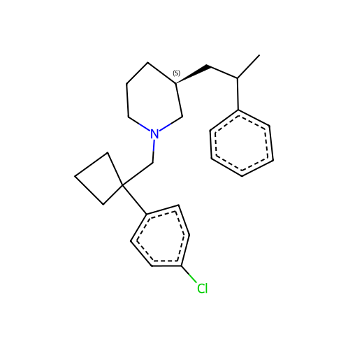 CC(C[C@@H]1CCCN(CC2(c3ccc(Cl)cc3)CCC2)C1)c1ccccc1